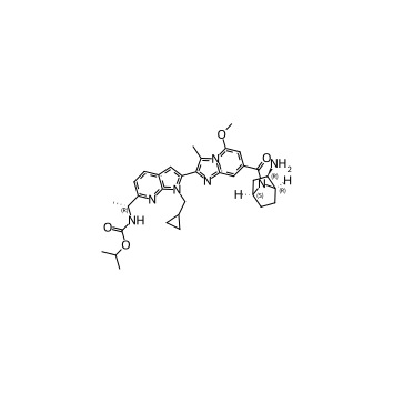 COc1cc(C(=O)N2[C@H]3CC[C@@H]2[C@H](N)C3)cc2nc(-c3cc4ccc([C@@H](C)NC(=O)OC(C)C)nc4n3CC3CC3)c(C)n12